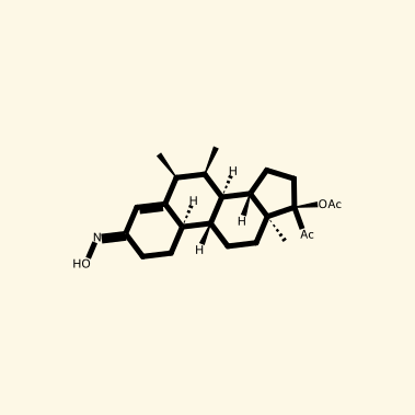 CC(=O)O[C@]1(C(C)=O)CC[C@H]2[C@@H]3[C@H](C)[C@H](C)C4=C/C(=N/O)CC[C@@H]4[C@H]3CC[C@@]21C